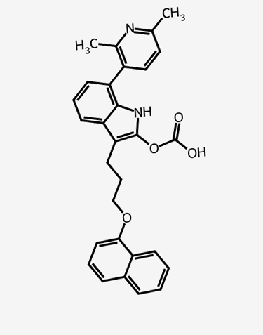 Cc1ccc(-c2cccc3c(CCCOc4cccc5ccccc45)c(OC(=O)O)[nH]c23)c(C)n1